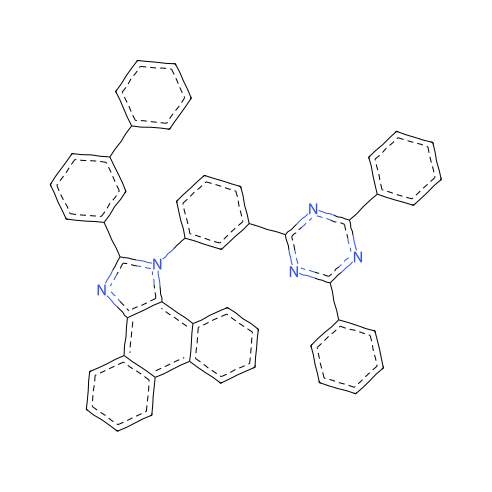 c1ccc(-c2cccc(-c3nc4c5ccccc5c5ccccc5c4n3-c3cccc(-c4nc(-c5ccccc5)nc(-c5ccccc5)n4)c3)c2)cc1